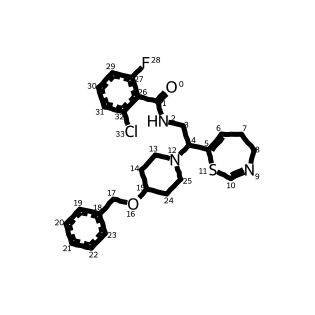 O=C(NCC(C1=CCCN=CS1)N1CCC(OCc2ccccc2)CC1)c1c(F)cccc1Cl